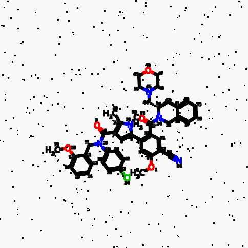 COc1cc(-c2cc(C(=O)N(Cc3ccccc3OC)c3ccc(Cl)cc3)c(C)n2C)c(C(=O)N2Cc3ccccc3C[C@H]2CN2CCOCC2)cc1C#N